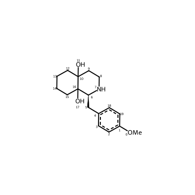 COc1ccc(C[C@@H]2NCCC3(O)CCCCC23O)cc1